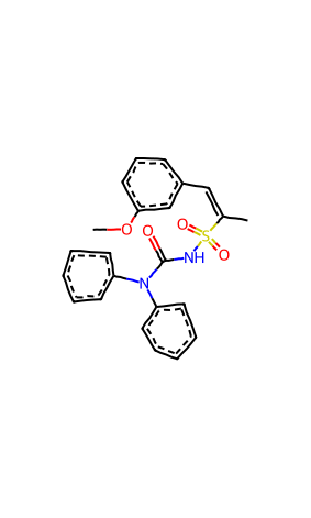 COc1cccc(C=C(C)S(=O)(=O)NC(=O)N(c2ccccc2)c2ccccc2)c1